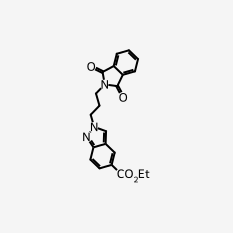 CCOC(=O)c1ccc2nn(CCCN3C(=O)c4ccccc4C3=O)cc2c1